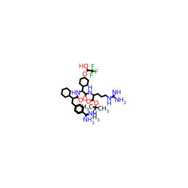 CC(C)(C)OC(=O)C(CCCNC(=N)N)NC(=O)C(NC(=O)C(Cc1ccc(C(=N)N)cc1)C1CCCCC1)C1CCCCC1.O=C(O)C(F)(F)F